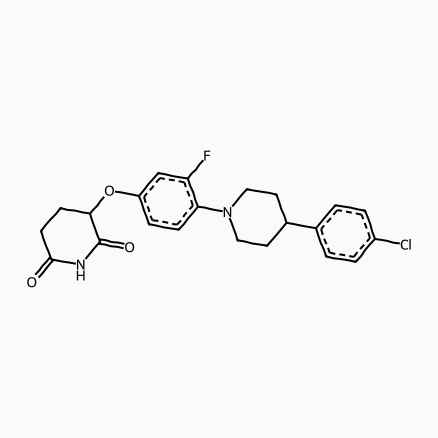 O=C1CCC(Oc2ccc(N3CCC(c4ccc(Cl)cc4)CC3)c(F)c2)C(=O)N1